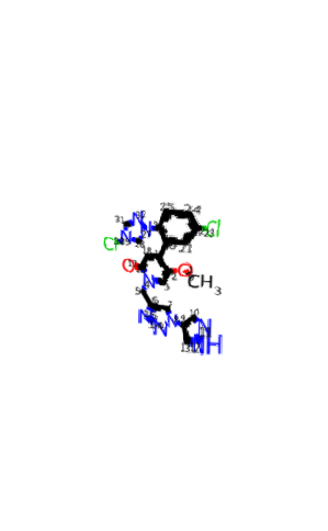 COc1cn(Cc2cn(-c3cn[nH]c3)nn2)c(=O)cc1-c1cc(Cl)ccc1N1CN(Cl)C=N1